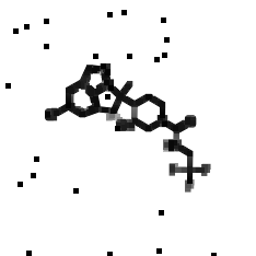 CC1(C2CCN(C(=O)NCC(F)(F)F)CC2)[C@H](O)c2cc(Cl)cc3cnn1c23